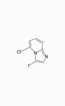 Clc1cccc2ncc(I)n12